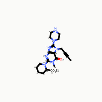 CC#CCn1c(N2CCNCC2)nc2nc(N3CCCCC3C(=O)OCC)n(C)c(=O)c21